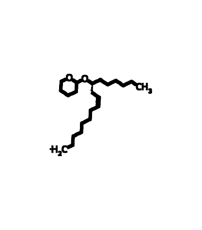 [CH2]CCCCCC/C=C\C[C@@H](CCCCCC)OC1CCCCO1